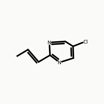 CC=Cc1ncc(Cl)cn1